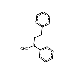 O=CN(CCc1ccccn1)c1ccccc1